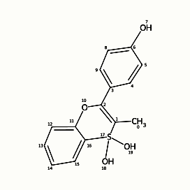 CC1=C(c2ccc(O)cc2)Oc2ccccc2S1(O)O